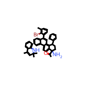 CC(=O)C1(N)CCC(c2ccccc2)c2c1ccc1c2cc(-c2cccc(C)c2Br)c2ccccc21.CC1=CC(C)(C)Nc2ccccc21